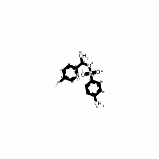 Cc1ccc(S(=O)(=O)OC(C)c2ccc(F)cn2)cc1